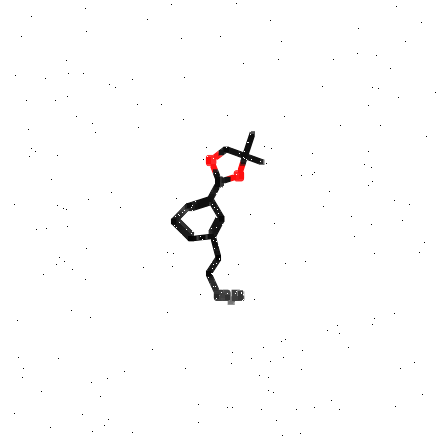 CCOC(=O)CCc1cccc(B2OCC(C)(C)O2)c1